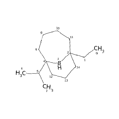 CCC12BC(C(C)C)(CCCC1)CCC2